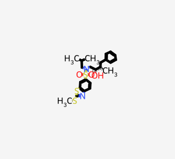 CSc1nc2ccc(S(=O)(=O)N(CC(C)C)C[C@@H](O)[C@@H](C)Cc3ccccc3)cc2s1